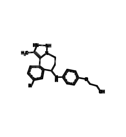 CC1=C2c3ccc(Br)cc3C(Nc3ccc(OCCO)cc3)CCN2NN1